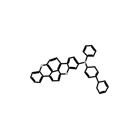 C1=CCC(C2=CCC(N(c3ccccc3)c3ccc4c(c3)Oc3ccc5c6c(ccc-4c36)Oc3ccccc3-5)C=C2)C=C1